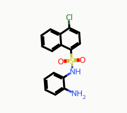 Nc1ccccc1NS(=O)(=O)c1ccc(Cl)c2ccccc12